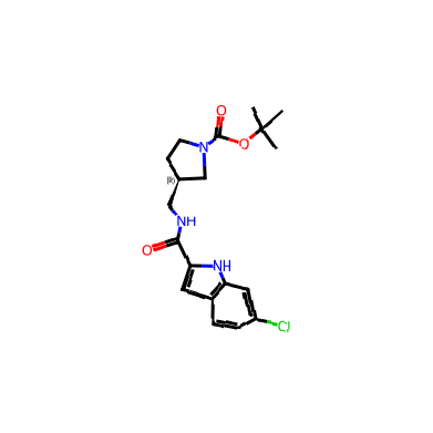 CC(C)(C)OC(=O)N1CC[C@H](CNC(=O)c2cc3ccc(Cl)cc3[nH]2)C1